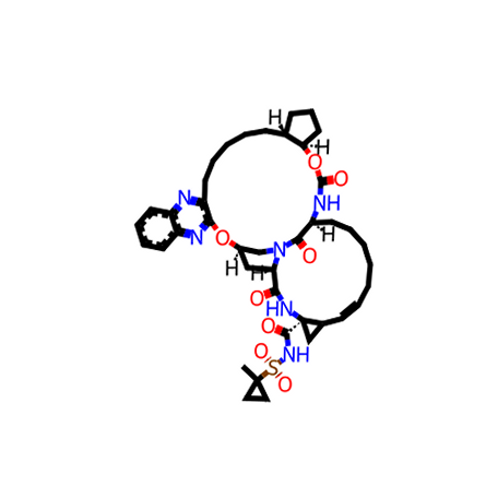 CC1(S(=O)(=O)NC(=O)[C@@]23CC2/C=C\CCCCC[C@@H]2NC(=O)O[C@@H]4CCC[C@H]4CCCCCc4nc5ccccc5nc4O[C@@H]4C[C@@H](C(=O)N3)N(C4)C2=O)CC1